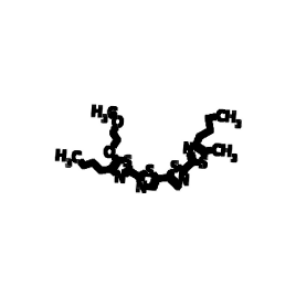 CCCCc1nc(-c2ncc(-c3cnc(-c4nc(CCCC)c(OCCOC)s4)s3)s2)sc1C